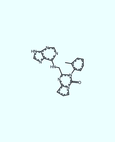 Cc1ccccc1-n1c(CNc2ncnc3[nH]cnc23)nc2cccn2c1=O